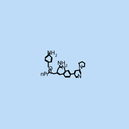 CCCN(CC1=Cc2ccc(-c3cncc(N4CCCC4)c3)cc2N=C(N)C1)OCc1ccc(N)cc1